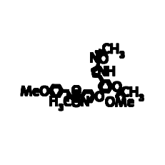 COC[C@H](C)Oc1cc(Oc2ccc(S(=O)(=O)N(C)Cc3ccc(OC)cc3)nc2)cc(-c2ccc(C3=NC[C@H](C)O3)[nH]2)c1